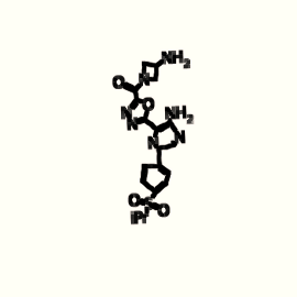 CC(C)S(=O)(=O)c1ccc(-c2cnc(N)c(-c3nnc(C(=O)N4CC(N)C4)o3)n2)cc1